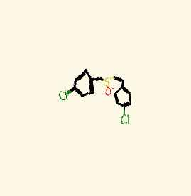 [O-][S+](/C=C\c1ccc(Cl)cc1)Cc1ccc(Cl)cc1